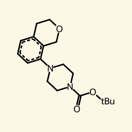 CC(C)(C)OC(=O)N1CCN(c2cccc3c2COCC3)CC1